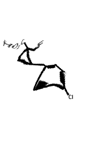 O=C(O)C1(F)CC1c1ccc(Cl)cc1